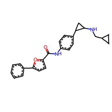 O=C(Nc1ccc(C2CC2NCC2CC2)cc1)c1ccc(-c2ccccc2)o1